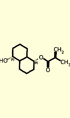 C=C(C)C(=O)O[C@@H]1CCCC2C1CCC[C@H]2O